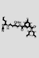 CCC/C(=N/C#N)NCC[C@H](O)CNC(=O)c1cc(C)cc(C(=O)N(CCC)CCC)c1